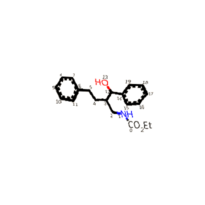 CCOC(=O)NCC(CCc1ccccc1)C(O)c1ccccc1